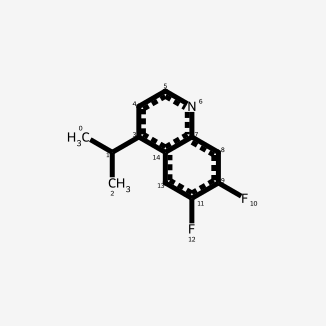 CC(C)c1ccnc2cc(F)c(F)cc12